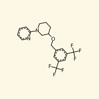 FC(F)(F)c1cc(COC2CCCN(c3ccccn3)C2)cc(C(F)(F)F)c1